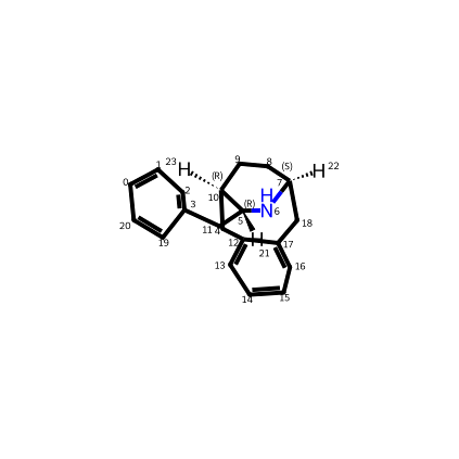 c1ccc(C[C@H]2N[C@H]3CC[C@@H]2Cc2ccccc2C3)cc1